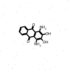 Nc1c(O)c(O)c(N)c2c1C(=O)c1ccccc1C2=O